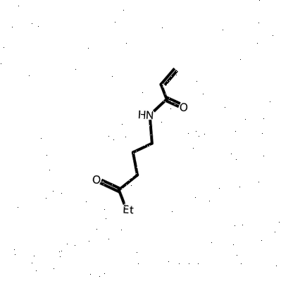 C=CC(=O)NCCCC(=O)CC